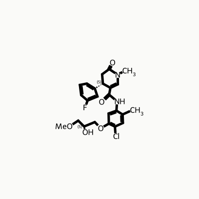 COC[C@H](O)COc1cc(NC(=O)C2=CN(C)C(=O)C[C@H]2c2cccc(F)c2)c(C)cc1Cl